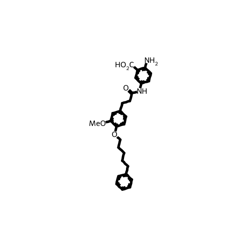 COc1cc(CCC(=O)Nc2ccc(N)c(C(=O)O)c2)ccc1OCCCCCc1ccccc1